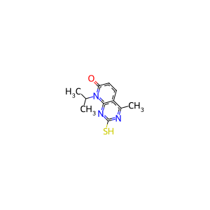 Cc1nc(S)nc2c1ccc(=O)n2C(C)C